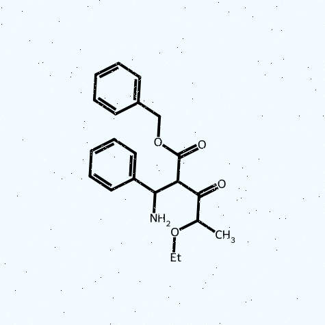 CCOC(C)C(=O)C(C(=O)OCc1ccccc1)C(N)c1ccccc1